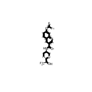 O=C(N[C@@H]1CC[C@@H]([C@@H](O)C(F)(F)F)OC1)c1cnc2cc(OC(F)F)ccc2c1